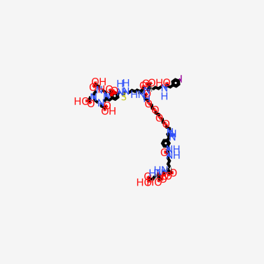 O=C(O)CC[C@H](NC(=O)N[C@@H](CCCCNC(=O)Nc1cccc(-c2cn(CCOCCOCCOCCOCCC(=O)N[C@@H](CCCCNC(=S)Nc3ccc(CC4CN(CC(=O)O)CCN(CC(=O)O)CCN(CC(=O)O)CCN4CC(=O)O)cc3)C(=O)N[C@@H](CCCCNC(=O)Cc3ccc(I)cc3)C(=O)O)nn2)c1)C(=O)O)C(=O)O